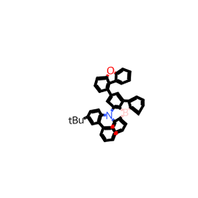 CC(C)(C)c1ccc(N2c3ccccc3B3c4ccccc4-c4cc(-c5cccc6oc7ccccc7c56)cc2c43)c(-c2ccccc2)c1